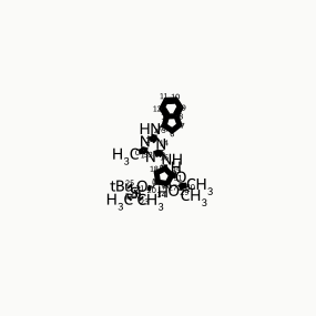 Cc1nc(N[C@H]2CCc3ccccc32)nc(N[C@@H]2C[C@@H](CO[Si](C)(C)C(C)(C)C)[C@H]3OC(C)(C)O[C@H]32)n1